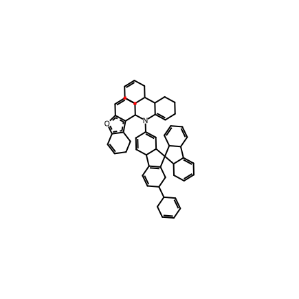 C1=CCC(C2C=CC3=C(C2)C2(C4CC=CC=C4C4C=CC=CC42)C2C=C(N(C4=CCCCC4C4CC=CCC4)C4CC=Cc5oc6c(c54)CCC=C6)C=CC32)C=C1